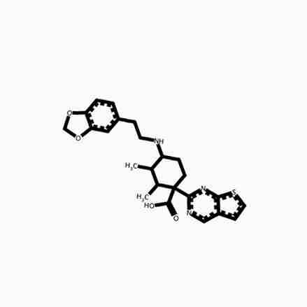 CC1C(NCCc2ccc3c(c2)OCO3)CCC(C(=O)O)(c2ncc3ccsc3n2)C1C